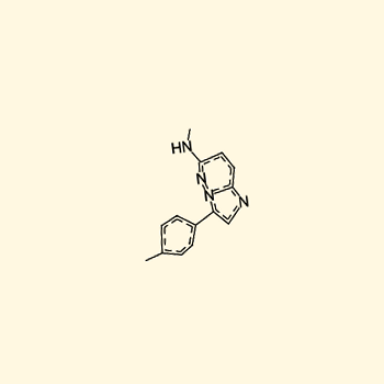 CNc1ccc2ncc(-c3ccc(C)cc3)n2n1